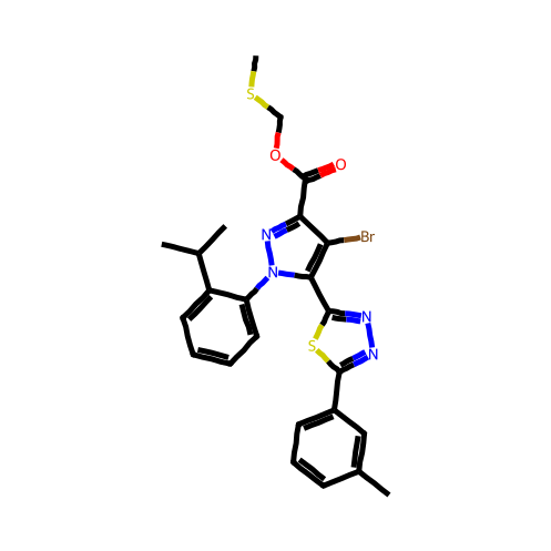 CSCOC(=O)c1nn(-c2ccccc2C(C)C)c(-c2nnc(-c3cccc(C)c3)s2)c1Br